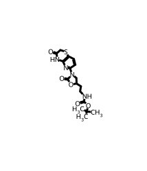 CC(C)(C)OC(=O)NCCC1CN(c2ccc3c(n2)NC(=O)CS3)C(=O)O1